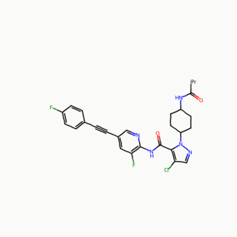 CC(C)C(=O)NC1CCC(n2ncc(Cl)c2C(=O)Nc2ncc(C#Cc3ccc(F)cc3)cc2F)CC1